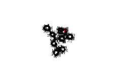 c1ccc(-c2ccc(N(c3cccc(-n4c5ccccc5c5ccccc54)c3)c3ccc4c(c3)C3(c5ccccc5-4)C4CC5CC(C4)CC3C5)cc2)cc1